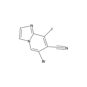 N#Cc1c(Br)cn2ccnc2c1I